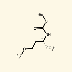 CC(C)(C)OC(=O)N[C@@H](CCOC(F)(F)F)C(=O)O